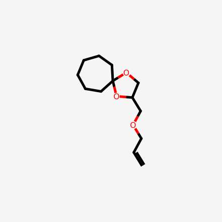 C=CCOCC1COC2(CCCCCC2)O1